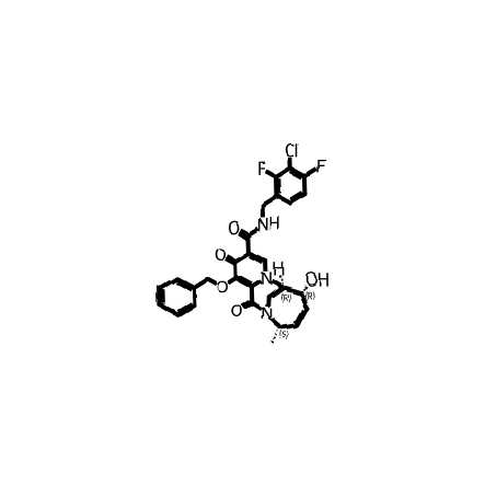 C[C@H]1C=C[C@@H](O)[C@H]2CN1C(=O)c1c(OCc3ccccc3)c(=O)c(C(=O)NCc3ccc(F)c(Cl)c3F)cn12